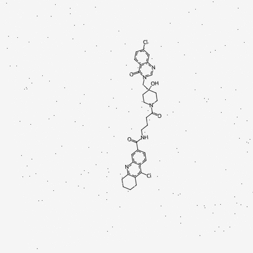 O=C(NCCCC(=O)N1CCC(O)(Cn2cnc3cc(Cl)ccc3c2=O)CC1)c1ccc2c(Cl)c3c(nc2c1)CCCC3